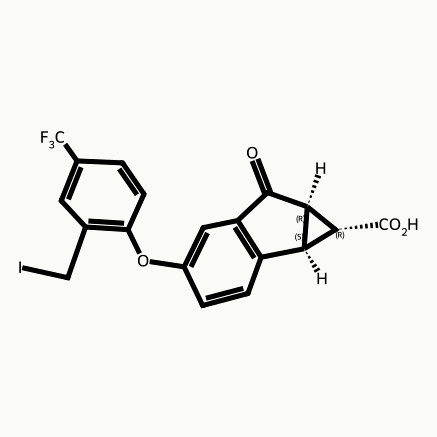 O=C(O)[C@H]1[C@@H]2C(=O)c3cc(Oc4ccc(C(F)(F)F)cc4CI)ccc3[C@H]12